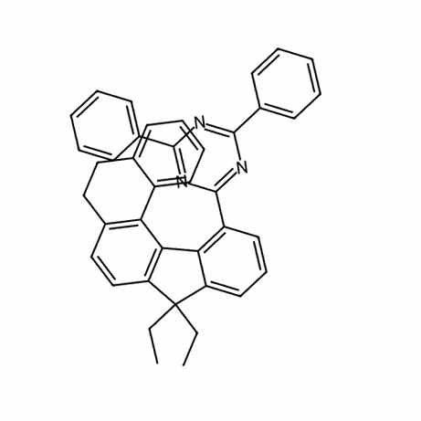 CCC1(CC)c2cccc(-c3nc(-c4ccccc4)nc(-c4ccccc4)n3)c2-c2c1ccc1c2-c2ccccc2CC1